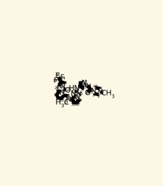 CN1CCN(C(=O)Cn2cc(Nc3nc4c(N(C)CC5CCCC(I)N5C(=O)N5CC(C(F)(F)F)C5)cccn4n3)cn2)CC1